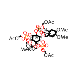 COc1cc(CO[C@@H]2[C@@H](OP(=O)(OCOC(C)=O)OCOC(C)=O)[C@H]3OC(OC)O[C@H]3[C@H](OP(=O)(OCOC(C)=O)OCOC(C)=O)[C@H]2OP(=O)(OCOC(C)=O)OCOC(C)=O)c([N+](=O)[O-])cc1OC